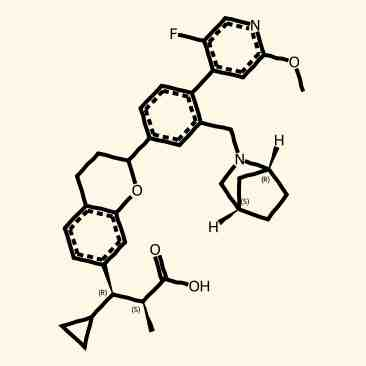 COc1cc(-c2ccc(C3CCc4ccc([C@H](C5CC5)[C@H](C)C(=O)O)cc4O3)cc2CN2C[C@H]3CC[C@@H]2C3)c(F)cn1